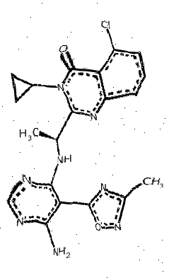 Cc1noc(-c2c(N)ncnc2N[C@@H](C)c2nc3cccc(Cl)c3c(=O)n2C2CC2)n1